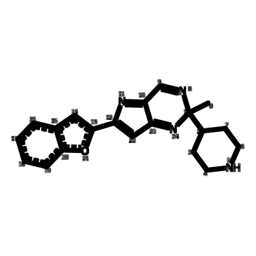 CC1(C2CCNCC2)N=CC2=NC(c3cc4ccccc4o3)=CC2=N1